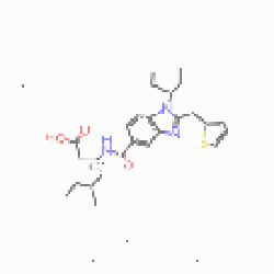 CCC(C)C[C@H](CC(=O)O)NC(=O)c1ccc2c(c1)nc(Cc1cccs1)n2C(CC)CC